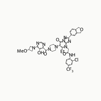 CCc1c(N2CCN(C(=O)c3ncnc(N4CC(OC)C4)c3O)CC2)c(=O)n2nc(-c3ccc4c(c3)COC4)nc2n1CC(=O)Nc1ccc(C(F)(F)F)cc1Cl